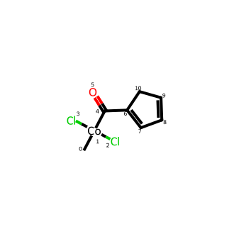 [CH3][Co]([Cl])([Cl])[C](=O)C1=CC=CC1